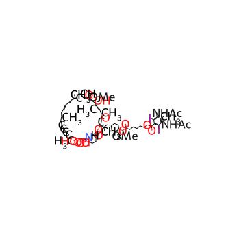 CO[C@@H]1C[C@H](C[C@@H](C)[C@@H]2CC(=O)[C@H](C)/C=C(\C)[C@@H](O)[C@@H](OC)C(=O)[C@H](C)C[C@H](C)/C=C/C=C/C=C(\C)CCCCC[C@@H](C)C(O)(O)C(=O)C(=O)N3CCCC[C@H]3C(=O)O2)CC[C@H]1OC(=O)CCCCCOC(=O)c1c(I)c(NC(C)=O)c(C)c(NC(C)=O)c1I